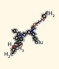 C=Cc1ccc(OCCCCCCOc2ccc(-n3c4ccc(-c5ccc(N(c6ccc(-c7ccccc7)cc6)c6ccc7c(c6)C(CC(C)CCC(C)COc6ccc(C=C)cc6)(c6ccccc6)c6ccccc6-7)cc5)cc4c4cc(-c5ccc(C(C)(C)C)cc5)ccc43)cc2)cc1